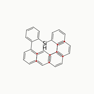 c1ccc(-c2ccccc2[SiH](c2ccccc2-c2ccccc2)c2ccccc2-c2ccccc2)cc1